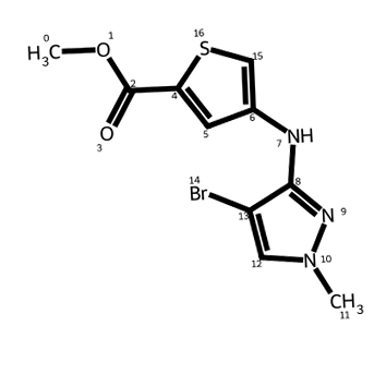 COC(=O)c1cc(Nc2nn(C)cc2Br)cs1